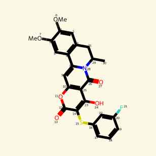 COc1cc2c(cc1OC)-c1cc3oc(=O)c(Sc4cccc(F)c4)c(O)c3c(=O)n1C(C)C2